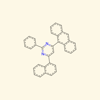 c1ccc(-c2nc(-c3cccc4ccccc34)cc(-c3c4ccccc4cc4ccccc34)n2)cc1